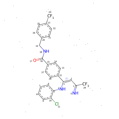 N=C(/C=C(\Nc1ccccc1Cl)c1ccc(C(=O)NCc2ccc(C(F)(F)F)cc2)cc1)C(F)(F)F